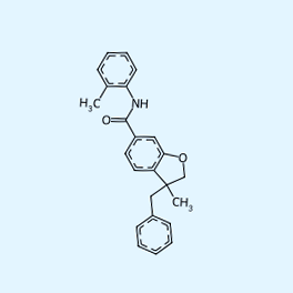 Cc1ccccc1NC(=O)c1ccc2c(c1)OCC2(C)Cc1ccccc1